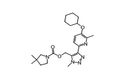 Cc1nc(-c2nnn(C)c2COC(=O)N2CCC(C)(C)C2)ccc1OC1CCCCC1